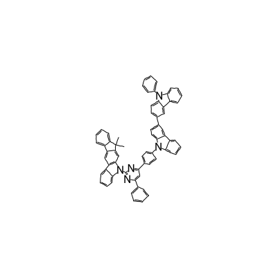 CC1(C)c2ccccc2-c2cc3c4ccccc4n(-c4nc(-c5ccccc5)cc(-c5ccc(-n6c7ccccc7c7cc(-c8ccc9c(c8)c8ccccc8n9-c8ccccc8)ccc76)cc5)n4)c3cc21